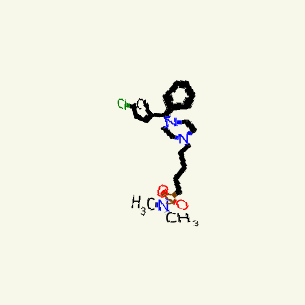 CN(C)S(=O)(=O)CCCCCN1CCN(C(c2ccccc2)c2ccc(Cl)cc2)CC1